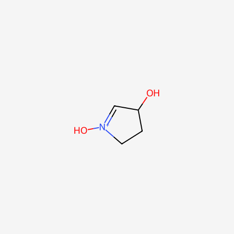 OC1C=[N+](O)CC1